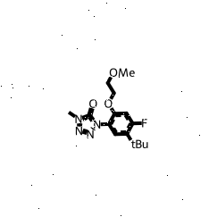 COCCOc1cc(F)c(C(C)(C)C)cc1-n1nnn(C)c1=O